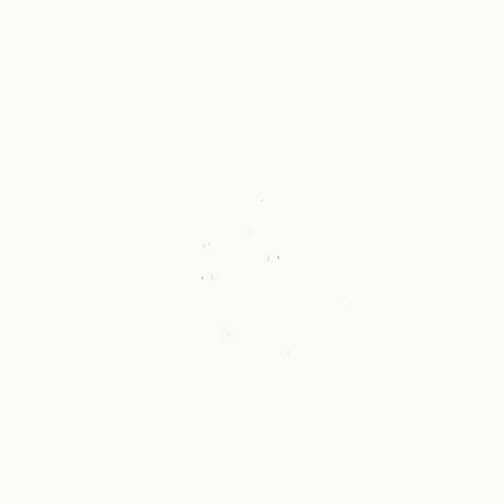 CCOC(=O)C(OC(=O)CC1CCC1)C(C)=O